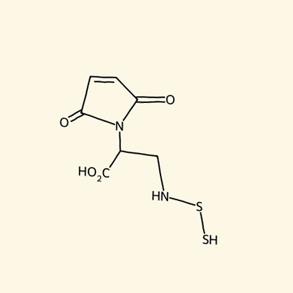 O=C(O)C(CNSS)N1C(=O)C=CC1=O